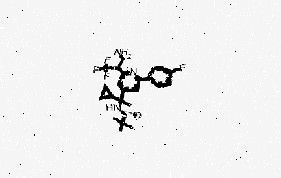 CC(N[S+]([O-])C(C)(C)C)(c1cc(-c2ccc(F)cc2)nc(C(CN)C(F)(F)F)c1)C1CC1